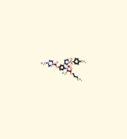 CCCCOC(=O)[C@H](C)N(C(=O)[C@@H]1CCCN1S(=O)(=O)c1ccc(C)cc1)c1ccc(OC(=O)N2CCN(C)CC2)cc1